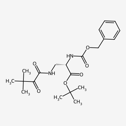 CC(C)(C)OC(=O)[C@H](CNC(=O)C(=O)C(C)(C)C)NC(=O)OCc1ccccc1